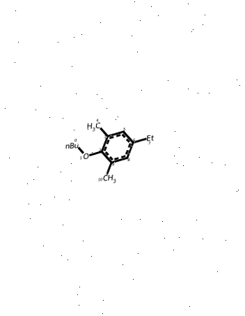 CCCCOc1c(C)cc(CC)cc1C